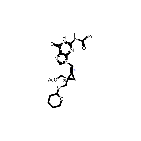 CC(=O)OC[C@]1(COC2CCCCO2)C/C1=C/n1cnc2c(=O)[nH]c(NC(=O)C(C)C)nc21